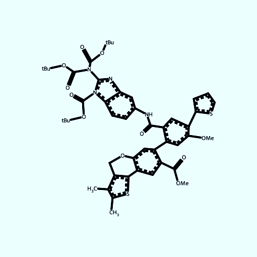 COC(=O)c1cc2c(cc1-c1cc(OC)c(-c3cccs3)cc1C(=O)Nc1ccc3c(c1)nc(N(C(=O)OC(C)(C)C)C(=O)OC(C)(C)C)n3C(=O)OC(C)(C)C)OCc1c-2sc(C)c1C